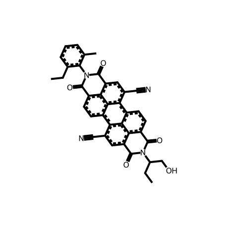 CCc1cccc(C)c1N1C(=O)c2ccc3c4c(C#N)cc5c6c(ccc(c7c(C#N)cc(c2c37)C1=O)c64)C(=O)N(C(CC)CO)C5=O